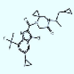 CC(CC1CC1)N1CC2(CC2)N(C(=O)c2nn3c(C(F)(F)F)cc(C4CC4)cc3c2Cl)CC1=O